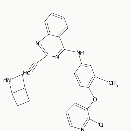 C#Cc1nc(Nc2ccc(Oc3cccnc3Cl)c(C)c2)c2ccccc2n1.C1CC2NCC12